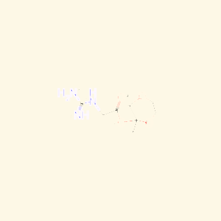 CC1(OC(=O)CNC(=N)N)COCCO1